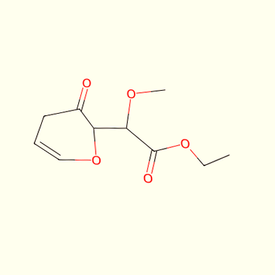 CCOC(=O)C(OC)C1OC=CCC1=O